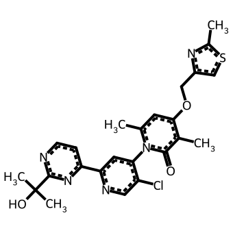 Cc1nc(COc2cc(C)n(-c3cc(-c4ccnc(C(C)(C)O)n4)ncc3Cl)c(=O)c2C)cs1